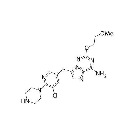 COCCOc1nc(N)c2ncc(Cc3cnc(N4CCNCC4)c(Cl)c3)n2n1